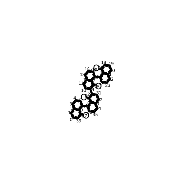 c1cc2ccc3oc4c(-c5ccc6ccc7oc8cccc9ccc%10oc5c6c7-c%10c98)ccc5ccc6oc(c1)c2c3-c6c54